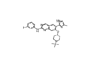 Cc1c[nH]c(-c2cc3cnc(Nc4cccc(F)c4)nc3cc2OC2CCN(C(C)(C)C)CC2)n1